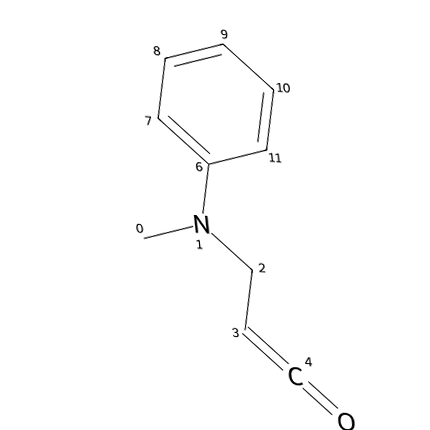 CN(CC=C=O)c1ccccc1